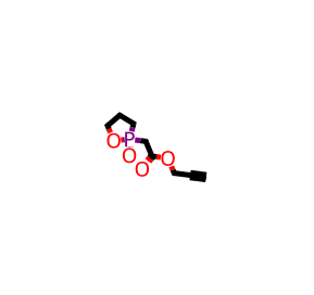 C#CCOC(=O)CP1(=O)CCCO1